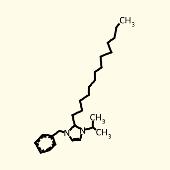 CCCCCCCCCCCCCCC1N(Cc2ccccc2)C=CN1C(C)C